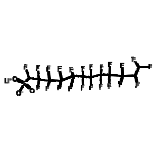 O=S(=O)([O-])C(F)C(F)(F)C(F)(F)C(F)(F)C(F)(F)C(F)(F)C(F)(F)C(F)(F)C(F)(F)C(F)(F)C(F)C(F)F.[Li+]